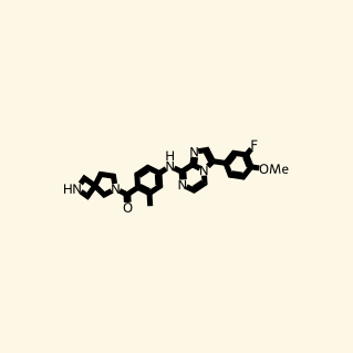 COc1ccc(-c2cnc3c(Nc4ccc(C(=O)N5CCC6(CNC6)C5)c(C)c4)nccn23)cc1F